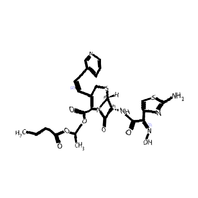 CCCC(=O)OC(C)OC(=O)C1=C(/C=C\c2cccnc2)CS[C@@H]2[C@H](NC(=O)/C(=N\O)c3csc(N)n3)C(=O)N12